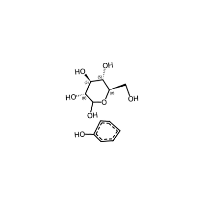 OC[C@H]1OC(O)[C@H](O)[C@@H](O)[C@@H]1O.Oc1ccccc1